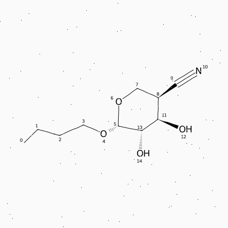 CCCCO[C@@H]1OC[C@@H](C#N)[C@@H](O)[C@@H]1O